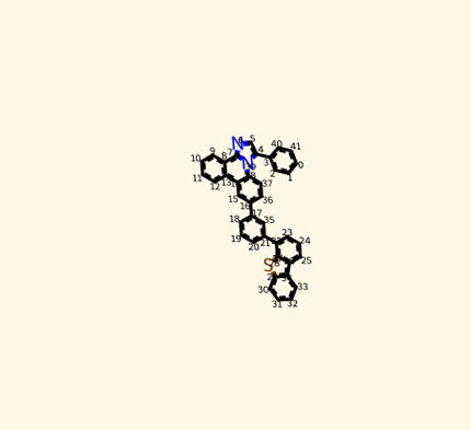 c1ccc(-c2cnc3c4ccccc4c4cc(-c5cccc(-c6cccc7c6sc6ccccc67)c5)ccc4n23)cc1